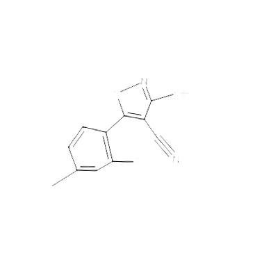 Cc1ccc(-c2snc(O)c2C#N)c(F)c1